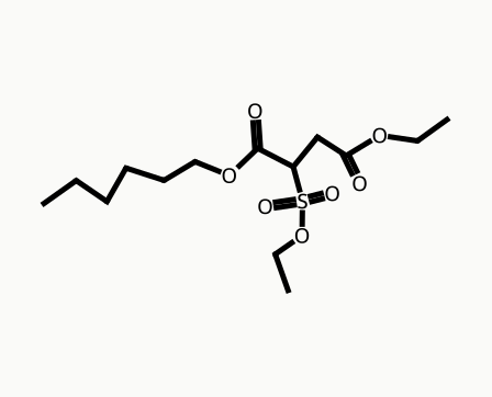 CCCCCCOC(=O)C(CC(=O)OCC)S(=O)(=O)OCC